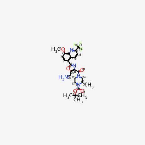 COc1ccc(-c2nc(C(=O)N3CCN(C(=O)OC(C)(C)C)[C@H](C)C3)c(CN)o2)c2ccc(C(F)(F)F)nc12